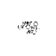 CC(c1ccccc1)c1ccccc1Nc1c([N+](=O)[O-])cc2c(N)n[nH]c2c1F